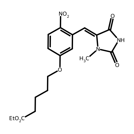 CCOC(=O)CCCCOc1ccc([N+](=O)[O-])c(C=C2C(=O)NC(=O)N2C)c1